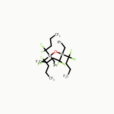 CC(C)[CH2][Sn]([O][Sn]([CH2]C(C)C)([C](F)(F)CCC(F)(F)F)[C](F)(F)CCC(F)(F)F)([C](F)(F)CCC(F)(F)F)[C](F)(F)CCC(F)(F)F